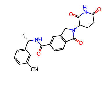 C[C@H](NC(=O)c1ccc2c(c1)CN(C1CCC(=O)NC1=O)C2=O)c1cccc(C#N)c1